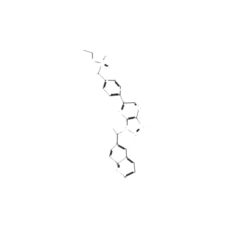 CCOP(C)(=O)Cc1ccc(-c2cnc3nnn(C(Cl)c4ccc5ncccc5c4)c3n2)cc1